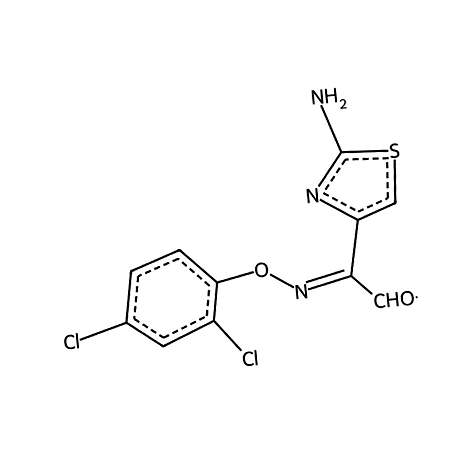 Nc1nc(/C([C]=O)=N\Oc2ccc(Cl)cc2Cl)cs1